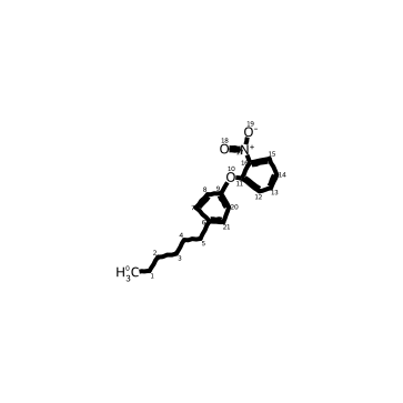 CCCCCCc1ccc(Oc2ccccc2[N+](=O)[O-])cc1